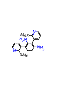 CSc1ncccc1-c1ccc(N)c(-c2cccnc2SC)c1N